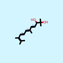 CC(C)=C(C)/C=C/C=C(C)/C=C/C(O)C(C)(C)O